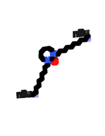 CCCC/C=C\CCCCCCCCN1CCCCCCN(CCCCCCCC/C=C\CCCC)C1=O